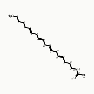 CCCCCC=CCC=CCC=CCC=CCCCNC(=O)O